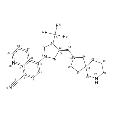 N#Cc1ccc(N2CC(C(F)(F)F)[C@@H](CN3CCC4(CCCNC4)C3)C2)c2cccnc12